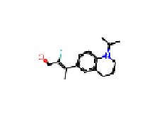 C/C(=C(/F)C=O)c1ccc2c(c1)CCCN2C(C)C